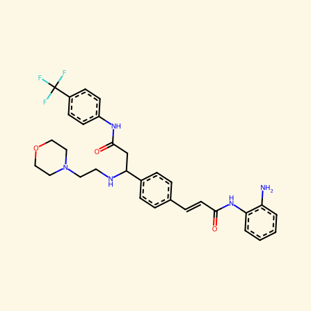 Nc1ccccc1NC(=O)/C=C/c1ccc(C(CC(=O)Nc2ccc(C(F)(F)F)cc2)NCCN2CCOCC2)cc1